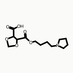 O=C(O)C1OCOC1C(=O)OCCCCN1CCCC1